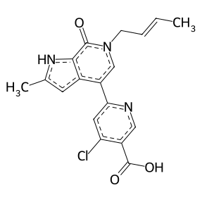 C/C=C/Cn1cc(-c2cc(Cl)c(C(=O)O)cn2)c2cc(C)[nH]c2c1=O